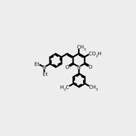 CCN(CC)c1ccc(/C=C2\C(=O)N(c3cc(C)cc(C)c3)C(=O)C(C(=O)O)=C2C)cc1